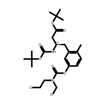 Cc1ccc(OC(=O)N(CCl)CCCl)cc1C[C@H](CC(=O)OC(C)(C)C)NC(=O)OC(C)(C)C